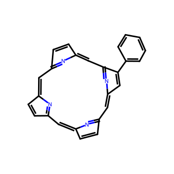 C1=CC2=NC1=CC1=NC(=CC3=NC(=CC4=NC(=C2)C=C4)C=C3c2ccccc2)C=C1